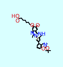 COc1cc2c(N[C@H](C)c3cc(-c4ccccc4CN(C)C(=O)OC(C)(C)C)cs3)nc(C)nc2cc1OCCCCCCC(=O)O